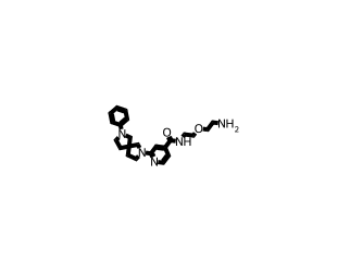 NCCOCCNC(=O)c1ccnc(N2CCC3(CCN(c4ccccc4)C3)C2)c1